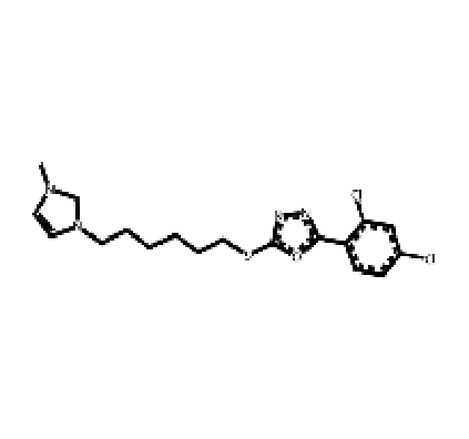 CN1C=CN(CCCCCCSc2nnc(-c3ccc(Cl)cc3Cl)o2)C1